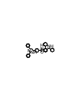 C1=CCC2NC(C3=CCCC=C3)c3ccc4c(c3C2=C1)NC(C1C=CC(C2CC(c3ccccc3)=NC(c3ccccc3)N2)=CC1)O4